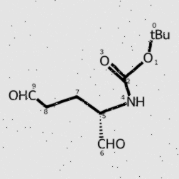 CC(C)(C)OC(=O)N[C@H](C=O)CCC=O